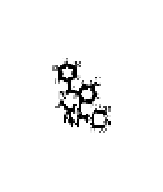 Clc1ccc2c(c1)C(c1ccccc1)=NCc1nnc(N3CCSCC3)n1-2